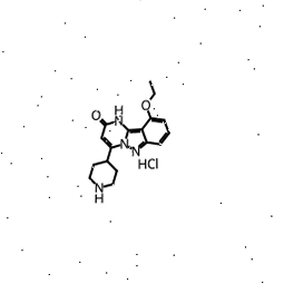 CCOc1cccc2nn3c(C4CCNCC4)cc(=O)[nH]c3c12.Cl